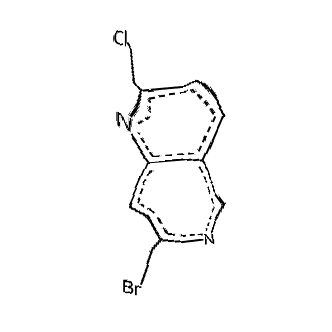 Clc1ccc2cnc(Br)cc2n1